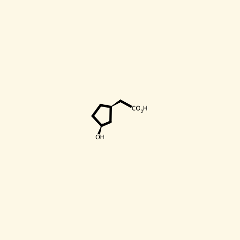 O=C(O)C[C@@H]1CC[C@H](O)C1